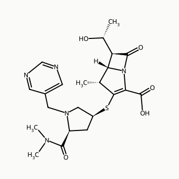 C[C@@H](O)[C@H]1C(=O)N2C(C(=O)O)=C(S[C@H]3C[C@@H](C(=O)N(C)C)N(Cc4cncnc4)C3)[C@H](C)[C@H]12